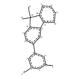 Cc1cc(F)cc(-c2ccc3c(c2)-c2ccccc2C3(C)C)c1